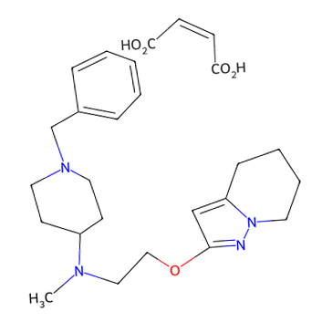 CN(CCOc1cc2n(n1)CCCC2)C1CCN(Cc2ccccc2)CC1.O=C(O)/C=C\C(=O)O